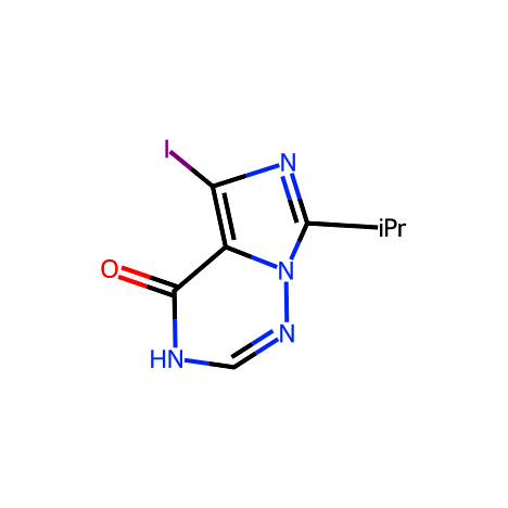 CC(C)c1nc(I)c2c(=O)[nH]cnn12